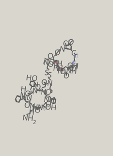 CCCCN(CCSSCCC(=O)N(C)[C@@H](C)C(=O)OC12CCOCN(C)c3cc(cc(OC)c3Cl)C/C(C)=C/C=C/[C@@H](OC)[C@@]3(O)C[C@H](OC(=O)N3)[C@@H](C)[C@H](O1)[C@@H]2C)C(=O)CC[C@H]1C(=O)N[C@@H](Cc2ccc(O)cc2)C(=O)N[C@H](Cc2c[nH]c3ccccc23)C(=O)N[C@@H](CCCCN)C(=O)N[C@@H]([C@@H](C)O)C(=O)N[C@@H](Cc2ccccc2)C(=O)N1C